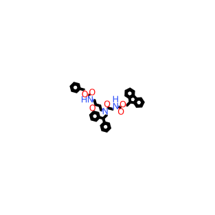 O=C(CCN(CC(c1ccccc1)c1ccccc1)C(=O)CNC(=O)OCC1c2ccccc2-c2ccccc21)CNC(=O)OCc1ccccc1